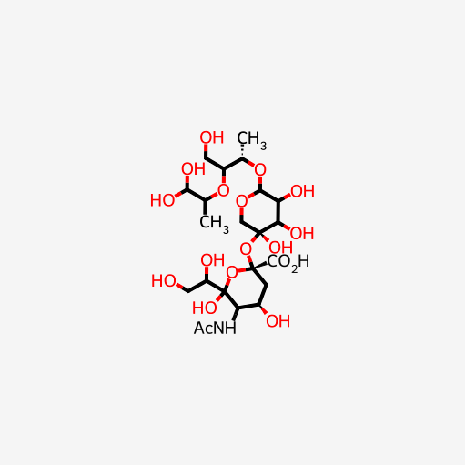 CC(=O)NC1[C@H](O)C[C@](O[C@]2(O)COC(O[C@@H](C)C(CO)OC(C)C(O)O)C(O)C2O)(C(=O)O)OC1(O)C(O)CO